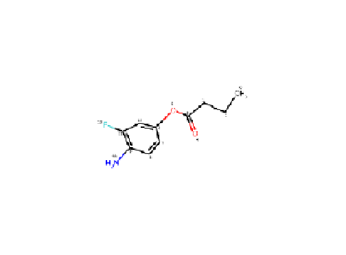 CCCC(=O)Oc1ccc(N)c(F)c1